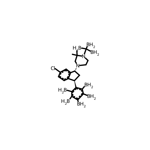 Bc1c(B)c(B)c([C@@H]2C[C@@H](N3CCN(C(B)(B)B)C(C)(C)C3)c3cc(Cl)ccc32)c(B)c1B